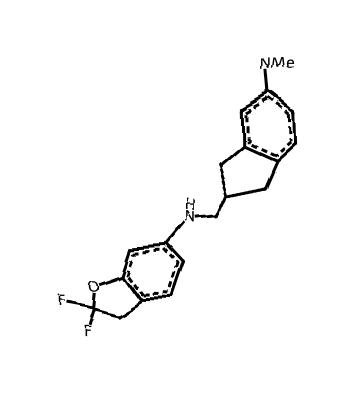 CNc1ccc2c(c1)CC(CNc1ccc3c(c1)OC(F)(F)C3)C2